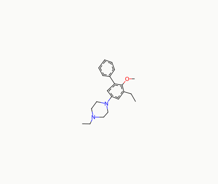 CCc1cc(N2CCN(CC)CC2)cc(-c2ccccc2)c1OC